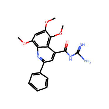 COc1cc(OC)c2nc(-c3ccccc3)cc(C(=O)NC(=N)N)c2c1OC